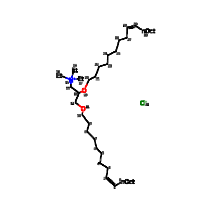 CCCCCCCC/C=C\CCCCCCCCOCC(C[N+](CC)(CC)CC)OCCCCCCCC/C=C\CCCCCCCC.[Cl-]